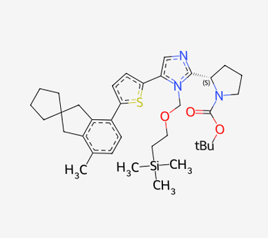 Cc1ccc(-c2ccc(-c3cnc([C@@H]4CCCN4C(=O)OC(C)(C)C)n3COCC[Si](C)(C)C)s2)c2c1CC1(CCCC1)C2